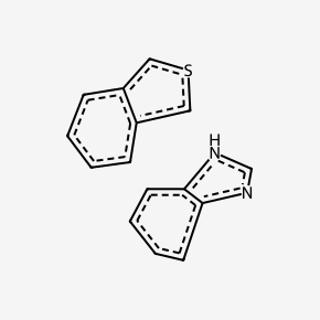 c1ccc2[nH]cnc2c1.c1ccc2cscc2c1